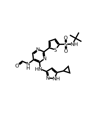 CC(C)(C)NS(=O)(=O)c1ccc(-c2ncc(NC=O)c(Nc3cc(C4CC4)[nH]n3)n2)s1